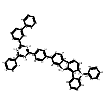 c1ccc(-c2cccc(-c3nc(-c4ccccc4)nc(-c4ccc(-c5ccc6c(c5)oc5c6ccc6c5c5ccccc5n6-c5ccccc5)cc4)n3)c2)cc1